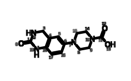 O=C1NCc2cc(N3CCN(C(=O)O)CC3)ccc2N1